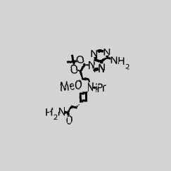 CO[C@H](CN(C(C)C)[C@H]1C[C@@H](CCC(N)=O)C1)[C@H]1OC(C)(C)O[C@H]1n1cnc2c(N)ncnc21